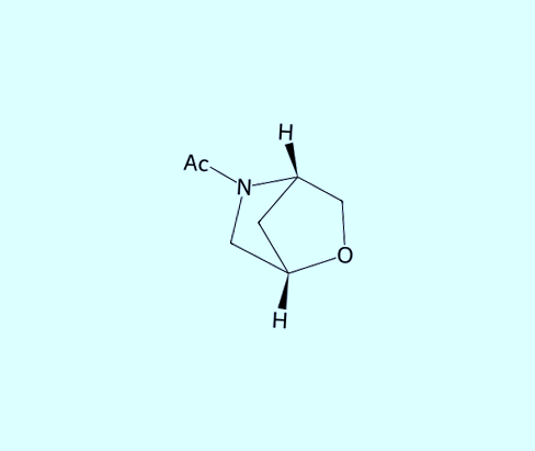 CC(=O)N1C[C@@H]2C[C@H]1CO2